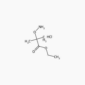 CCOC(=O)C(C)(C)ON.Cl